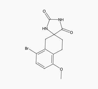 COc1ccc(Br)c2c1CCC1(C2)NC(=O)NC1=O